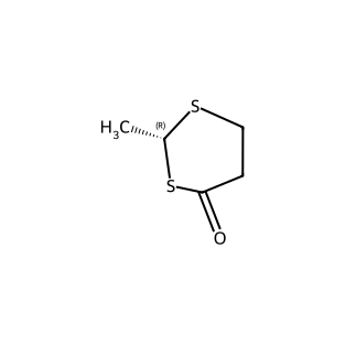 C[C@@H]1SCCC(=O)S1